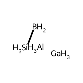 B[SiH3].[AlH3].[GaH3]